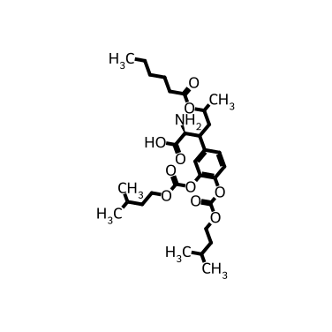 CCCCCC(=O)OC(C)CC(c1ccc(OC(=O)OCCC(C)C)c(OC(=O)OCCC(C)C)c1)[C@H](N)C(=O)O